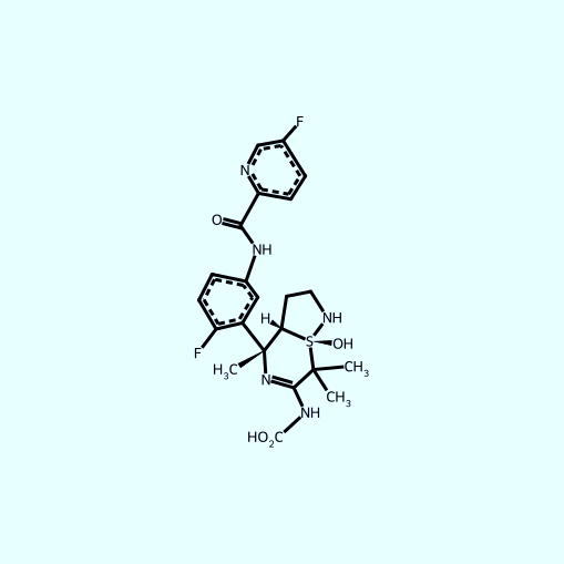 CC1(C)C(NC(=O)O)=N[C@](C)(c2cc(NC(=O)c3ccc(F)cn3)ccc2F)[C@@H]2CCN[S@@]21O